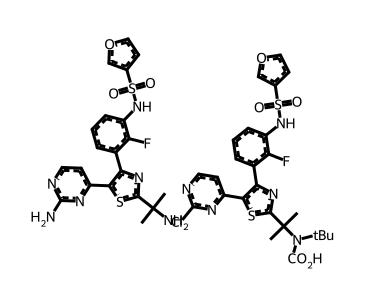 CC(C)(C)N(C(=O)O)C(C)(C)c1nc(-c2cccc(NS(=O)(=O)c3ccoc3)c2F)c(-c2ccnc(Cl)n2)s1.CC(C)(N)c1nc(-c2cccc(NS(=O)(=O)c3ccoc3)c2F)c(-c2ccnc(N)n2)s1